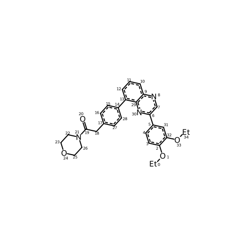 CCOc1ccc(-c2cnc3cccc(-c4ccc(CC(=O)N5CCOCC5)cc4)c3n2)cc1OCC